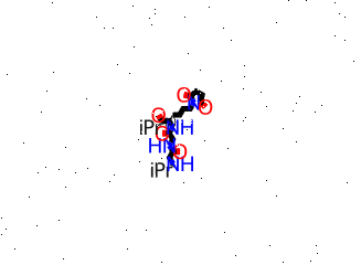 CC(C)NCC(=O)NCC(=O)N[C@@H](CCCCN1C(=O)CCC1=O)C(=O)C(C)C